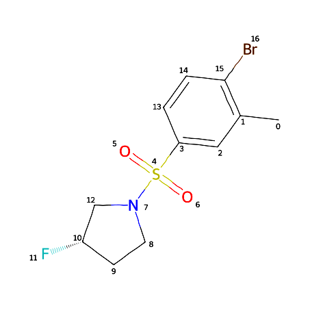 Cc1cc(S(=O)(=O)N2CC[C@H](F)C2)ccc1Br